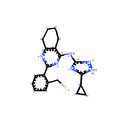 FCc1ccccc1-c1nc2c(c(Nc3n[nH]c(C4CC4)n3)n1)CCCC2